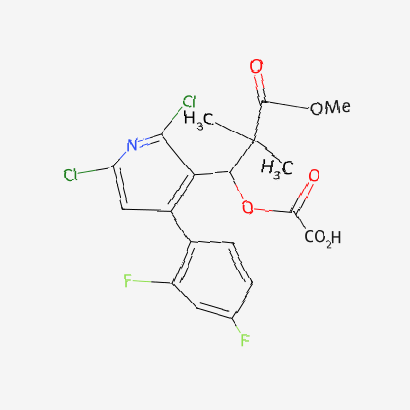 COC(=O)C(C)(C)C(OC(=O)C(=O)O)c1c(-c2ccc(F)cc2F)cc(Cl)nc1Cl